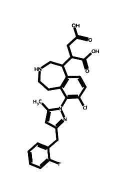 Cc1cc(Cc2ccccc2F)nn1-c1c(Cl)ccc2c1CCNCC2C(CC(=O)O)C(=O)O